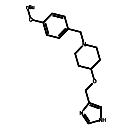 CCCCOc1ccc(CN2CCC(OCc3c[nH]cn3)CC2)cc1